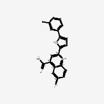 Cc1cccc(-c2ccc(-c3cc(C(=O)O)c4cc(Br)ccc4n3)o2)c1